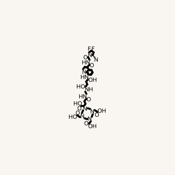 N#C[C@@H]1CC(F)(F)CN1C(=O)CNC(=O)c1ccnc2c(NC(O)CCC(O)NCCNC(=O)CCC(C(=O)O)N3CCN(CC(=O)O)CCN(CC(=O)O)CCN(CC(=O)O)CC3)cccc12